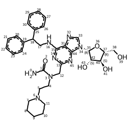 NC(=O)N(CCN1CCCCC1)Cc1nc(NCC(c2ccccc2)c2ccccc2)c2ncn([C@@H]3O[C@H](CO)[C@@H](O)[C@@H]3O)c2n1